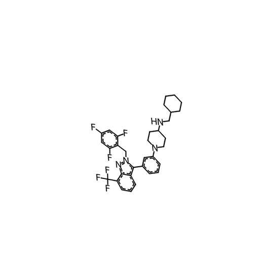 Fc1cc(F)c(Cn2nc3c(C(F)(F)F)cccc3c2-c2cccc(N3CCC(NCC4CCCCC4)CC3)c2)c(F)c1